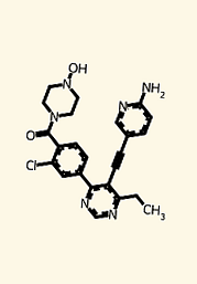 CCc1ncnc(-c2ccc(C(=O)N3CCN(O)CC3)c(Cl)c2)c1C#Cc1ccc(N)nc1